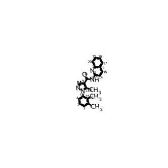 Cc1cccc(-n2nnc(C(=O)Nc3ccc4ccccc4n3)c2C)c1C